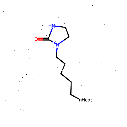 CCCCCCCCCCCCN1CCNC1=O